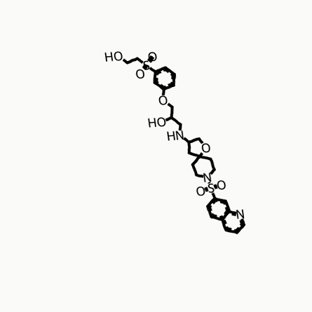 O=S(=O)(CCO)c1cccc(OCC(O)CNC2COC3(CCN(S(=O)(=O)c4ccc5cccnc5c4)CC3)C2)c1